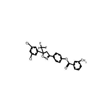 Cc1cccc(C(=O)Oc2ccc(C3=NOC(c4cc(Cl)cc(Cl)c4)(C(F)(F)F)C3)cc2)c1